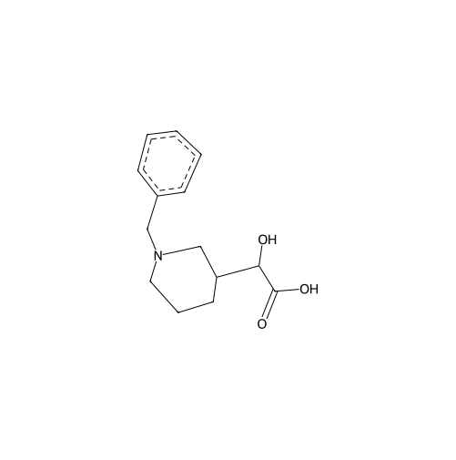 O=C(O)C(O)C1CCCN(Cc2ccccc2)C1